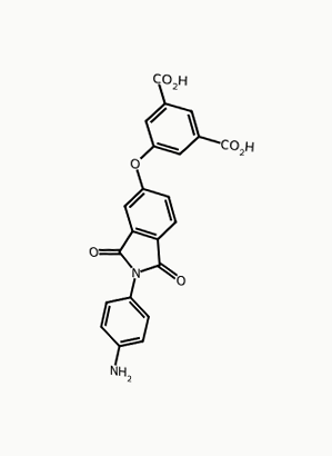 Nc1ccc(N2C(=O)c3ccc(Oc4cc(C(=O)O)cc(C(=O)O)c4)cc3C2=O)cc1